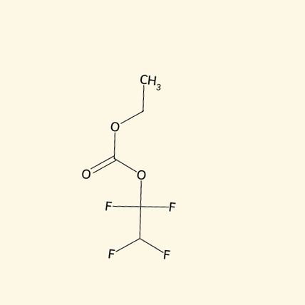 CCOC(=O)OC(F)(F)C(F)F